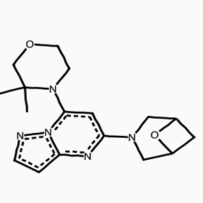 CC1(C)COCCN1c1cc(N2CC3CC(C2)O3)nc2ccnn12